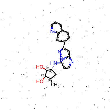 [CH2][C@@H]1C[C@@H](Nc2ccnc3cc(-c4ccc5cccnc5c4)nn23)[C@H](O)[C@@H]1O